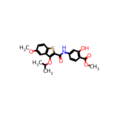 COC(=O)c1ccc(NC(=O)c2sc3ccc(OC)cc3c2OC(C)C)cc1O